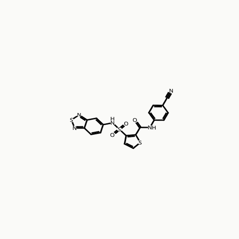 N#Cc1ccc(NC(=O)c2sccc2S(=O)(=O)Nc2ccc3nsnc3c2)cc1